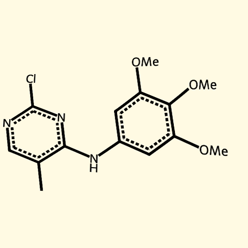 COc1cc(Nc2nc(Cl)ncc2C)cc(OC)c1OC